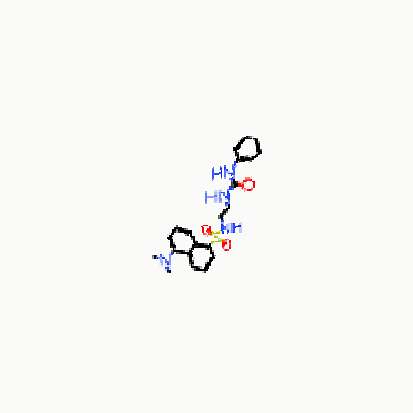 CN(C)c1cccc2c(S(=O)(=O)NCCNC(=O)Nc3ccccc3)cccc12